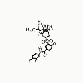 CC(C)[C@H](O)[C@@H](O)[C@@]1(O)C2C[C@@H](S(=O)(=O)c3cc(C(=O)Nc4ccc(F)c(F)c4)ccc3Cl)CC1[C@@H](C)C2